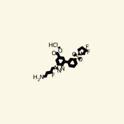 COC(=O)c1cc(-c2cccc(S(=O)(=O)N3CCC(F)(F)C3)c2)c2nnn(C/C(F)=C/CN)c2c1.Cl